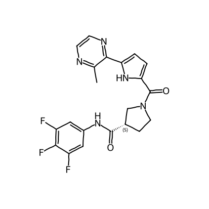 Cc1nccnc1-c1ccc(C(=O)N2CC[C@H](C(=O)Nc3cc(F)c(F)c(F)c3)C2)[nH]1